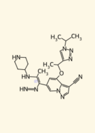 C/C(NC1CCNCC1)=C(/N=N)c1cc(OC(C)c2cn(C(C)C)nn2)c2c(C#N)cnn2c1